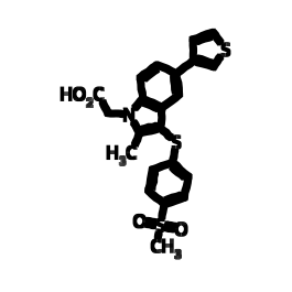 Cc1c(Sc2ccc(S(C)(=O)=O)cc2)c2cc(-c3ccsc3)ccc2n1CC(=O)O